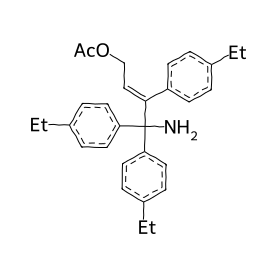 CCc1ccc(C(=CCOC(C)=O)C(N)(c2ccc(CC)cc2)c2ccc(CC)cc2)cc1